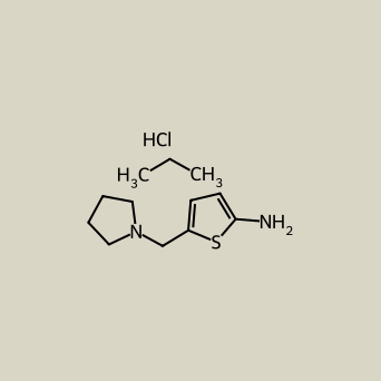 CCC.Cl.Nc1ccc(CN2CCCC2)s1